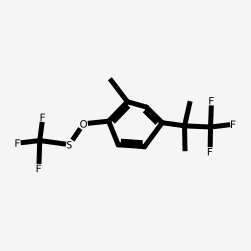 Cc1cc(C(C)(C)C(F)(F)F)ccc1OSC(F)(F)F